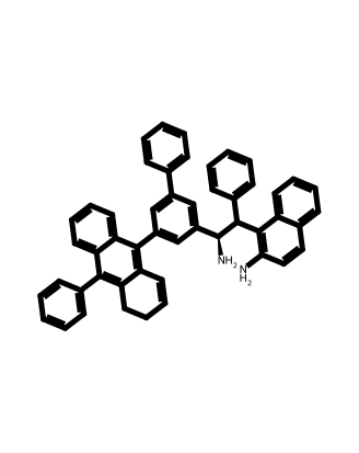 Nc1ccc2ccccc2c1C(c1ccccc1)[C@@H](N)c1cc(-c2ccccc2)cc(-c2c3c(c(-c4ccccc4)c4ccccc24)CCC=C3)c1